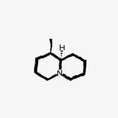 C[C@@H]1CCCN2CCCC[C@H]12